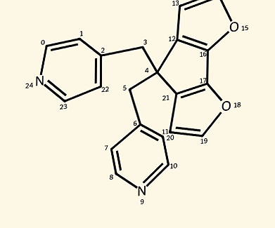 c1cc(CC2(Cc3ccncc3)c3ccoc3-c3occc32)ccn1